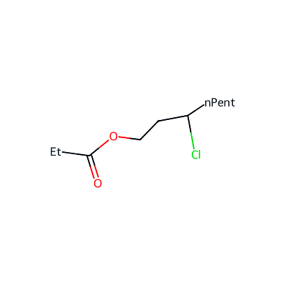 CCCCCC(Cl)CCOC(=O)CC